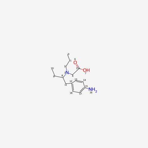 CCCN(CC(=O)O)C(CC)Cc1ccc(N)cc1